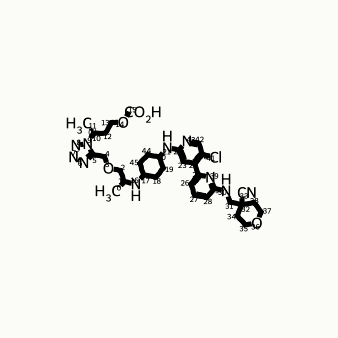 CC(COCc1nnnn1[C@@H](C)CCOC(=O)O)NC1CCC(Nc2cc(-c3cccc(NCC4(C#N)CCOCC4)n3)c(Cl)cn2)CC1